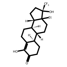 CCC12CC[C@H]3[C@@H](CCC4=C(O)C(=O)CC[C@@H]43)[C@@H]1CC[C@@]2(O)C(F)(F)F